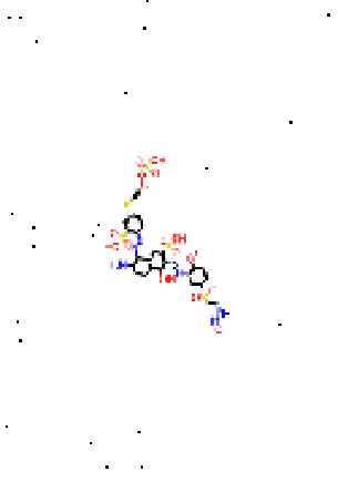 COc1ccc(S(=O)(=O)CCN(C)N=O)cc1N=Nc1c(S(=O)(=O)O)cc2c(N=Nc3ccc(SC#COOS(=O)(=O)O)cc3S(=O)(=O)O)c(N)ccc2c1O